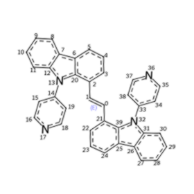 C(=C\c1cccc2c3ccccc3n(-c3ccncc3)c12)/c1cccc2c3ccccc3n(-c3ccncc3)c12